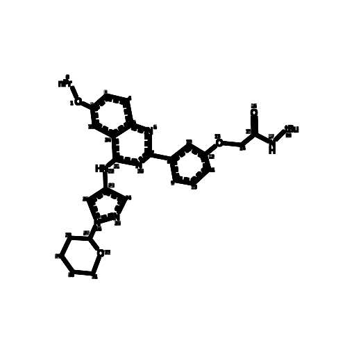 CCCOc1ccc2nc(-c3cccc(OCC(=O)NC(C)(C)C)c3)nc(Nc3cnn(C4CCCCO4)c3)c2c1